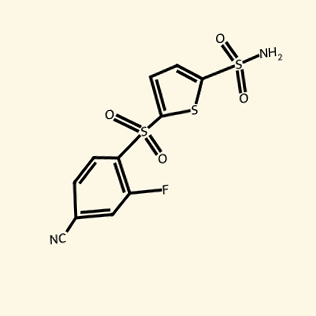 N#Cc1ccc(S(=O)(=O)c2ccc(S(N)(=O)=O)s2)c(F)c1